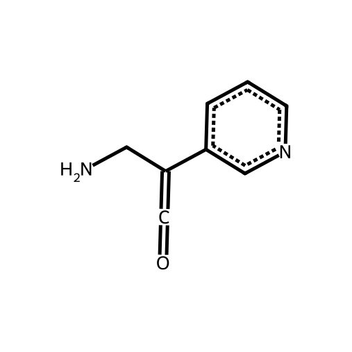 NCC(=C=O)c1cccnc1